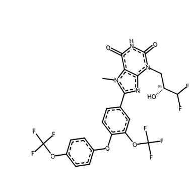 Cn1c(-c2ccc(Oc3ccc(OC(F)(F)F)cc3)c(OC(F)(F)F)c2)nc2c1c(=O)[nH]c(=O)n2C[C@@H](O)C(F)F